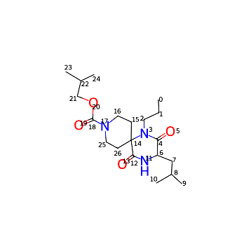 CCCN1C(=O)C(CC(C)C)NC(=O)C12CCN(C(=O)OCC(C)C)CC2